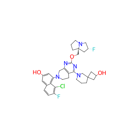 Oc1cc(N2CCc3c(nc(OC[C@@]45CCCN4C[C@H](F)C5)nc3N3CCCC4(CC(O)C4)C3)C2)c2c(Cl)c(F)ccc2c1